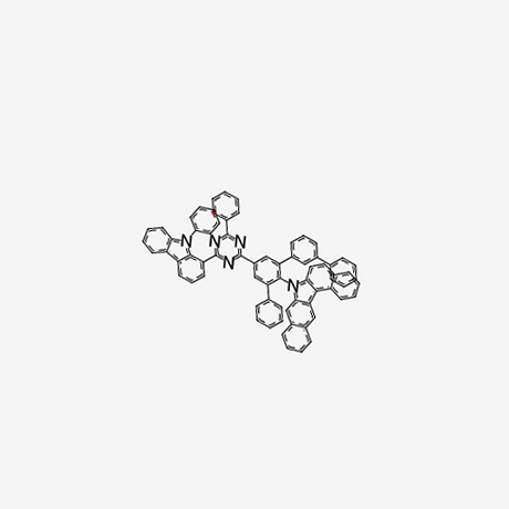 c1ccc(-c2cccc(-c3cc(-c4nc(-c5ccccc5)nc(-c5cccc6c7ccccc7n(-c7ccccc7)c56)n4)cc(-c4ccccc4)c3-n3c4cc5ccccc5cc4c4c5ccccc5ccc43)c2)cc1